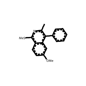 COc1ccc2c(SC)nc(C)c(-c3ccccc3)c2c1